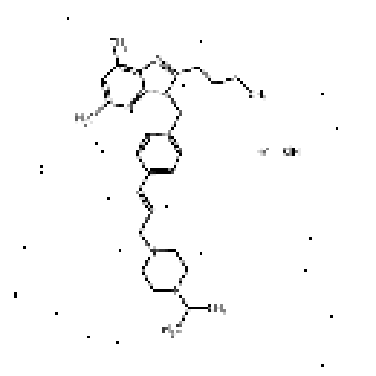 CCCCc1nc2c(C)cc(C)nc2n1Cc1ccc(/C=C/CN2CCN(C(C)C)CC2)cc1.Cl.Cl